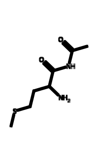 CSCCC(N)C(=O)NC(C)=O